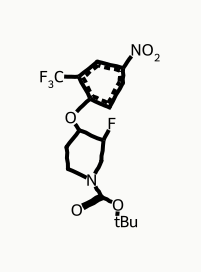 CC(C)(C)OC(=O)N1CCC(Oc2ccc([N+](=O)[O-])cc2C(F)(F)F)C(F)C1